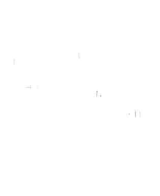 C/C=C(C)\C(C)=C/CN(C1=C(C)C=CCC1)c1ccccc1